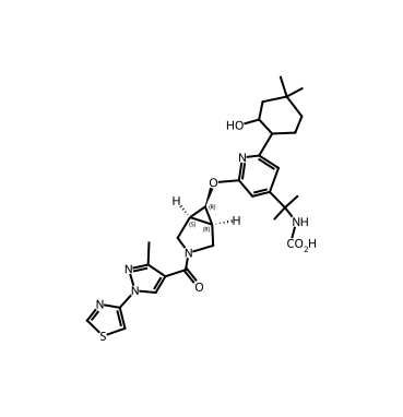 Cc1nn(-c2cscn2)cc1C(=O)N1C[C@@H]2[C@H](C1)[C@@H]2Oc1cc(C(C)(C)NC(=O)O)cc(C2CCC(C)(C)CC2O)n1